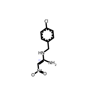 N/C(=C\[N+](=O)[O-])NCc1ccc(Cl)cc1